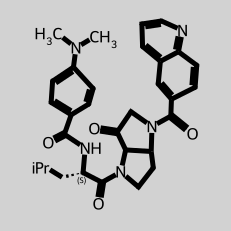 CC(C)C[C@H](NC(=O)c1ccc(N(C)C)cc1)C(=O)N1CCC2C1C(=O)CN2C(=O)c1ccc2ncccc2c1